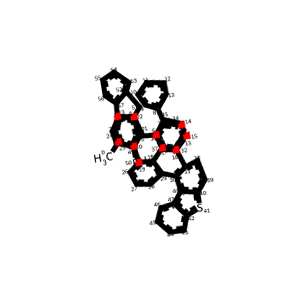 Cc1cc2c(c(-c3c(-c4ccccc4)nnnc3-c3c(-c4ccccc4)cccc3-c3c(-c4ccccc4)ccc4sc5ccccc5c34)c1C)Cc1ccccc1-2